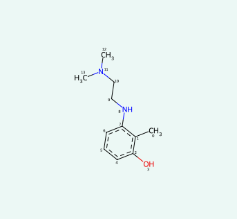 Cc1c(O)cccc1NCCN(C)C